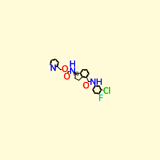 O=C(N[C@H]1CCc2c(C(=O)Nc3ccc(F)c(Cl)c3)cccc21)OCc1ccccn1